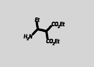 CCOC(=O)C(C(=O)OCC)C(N)CC